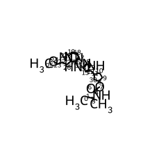 CCC(C)NC(=O)OC1CCC(c2cc(NC3=NC=CN4N=C(COC)CC34)n[nH]2)C1